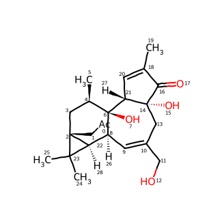 CC(=O)C[C@@]12C[C@@H](C)[C@@]3(O)[C@@H](C=C(CO)C[C@]4(O)C(=O)C(C)=C[C@@H]34)[C@H]1C2(C)C